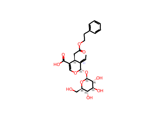 C/C=C1/[C@H](O[C@@H]2O[C@H](CO)[C@@H](O)[C@H](O)[C@H]2O)OC=C(C(=O)O)[C@H]1CC(=O)OCCc1ccccc1